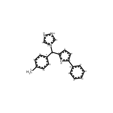 Cc1ccc(C(c2ccc(-c3ccccc3)o2)n2cnnc2)cc1